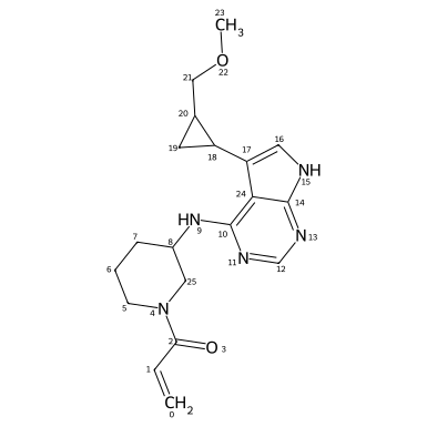 C=CC(=O)N1CCCC(Nc2ncnc3[nH]cc(C4CC4COC)c23)C1